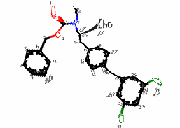 CN(C(=O)OCc1ccccc1)[C@@H](C=O)Cc1ccc(-c2cc(Cl)cc(Cl)c2)cc1